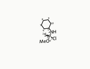 COP(=S)(Cl)NC1CCCCC1